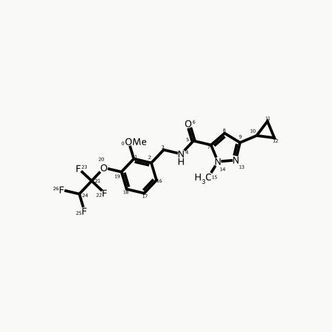 COc1c(CNC(=O)c2cc(C3CC3)nn2C)cccc1OC(F)(F)C(F)F